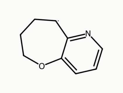 [CH]1CCCOc2cccnc21